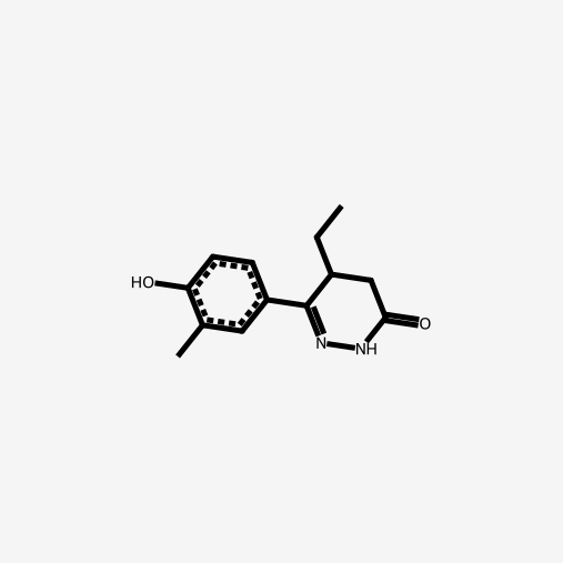 CCC1CC(=O)NN=C1c1ccc(O)c(C)c1